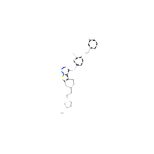 CN(C)[C@H]1CCN(CCC2CCc3c(sc4ncnc(Nc5ccc(OCc6cccc(F)c6)c(Cl)c5)c34)C2)C1